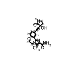 CN1CC[C@@](O)(C#Cc2ccc3c(c2)-c2nc(C(N)=O)c(C(F)(F)F)n2CCO3)C1=O